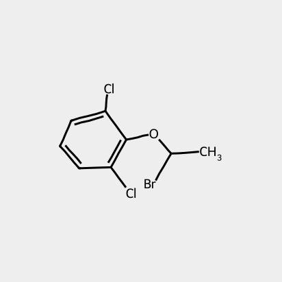 CC(Br)Oc1c(Cl)cccc1Cl